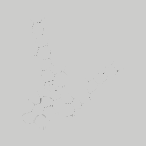 CCC1(O)CC(OC2C(C)OC(OC3CC4OC5CC(=O)C(C)OC5OC4C(C)O3)CC2N(C)C)c2c(O)c3c(c(O)c2C1OC1CC(N(C)C)C(OC2CC4OC5CC(=O)C(C)OC5OC4C(C)O2)C(C)O1)C(=O)c1cccc(O)c1C3=O